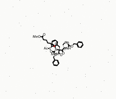 CNC(=O)[C@@](Cc1ccccc1)(C(=O)[C@H](CC(C)C)NC(=O)OCc1ccccc1)N(C(=O)OCc1ccccc1)C(=O)C(CCCCC(=O)OC)SC(C)=O